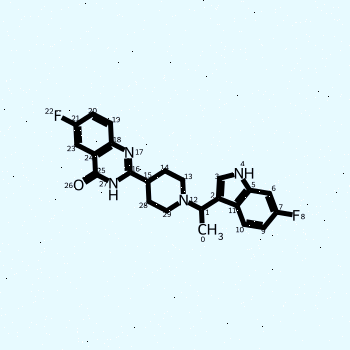 CC(c1c[nH]c2cc(F)ccc12)N1CCC(c2nc3ccc(F)cc3c(=O)[nH]2)CC1